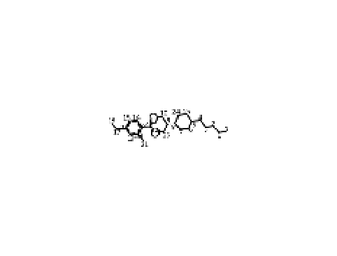 CCCCCC1CCC([C@H]2CO[C@H](c3ccc(CC)cc3C)OC2)CC1